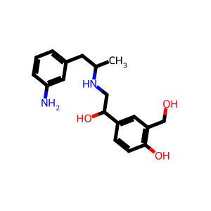 CC(Cc1cccc(N)c1)NCC(O)c1ccc(O)c(CO)c1